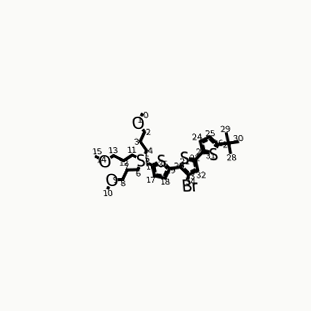 COCCC[Si](CCCOC)(CCCOC)c1ccc(-c2sc(-c3ccc(C(C)(C)C)s3)cc2Br)s1